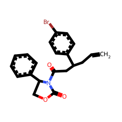 C=CCC(CC(=O)N1C(=O)OCC1c1ccccc1)c1ccc(Br)cc1